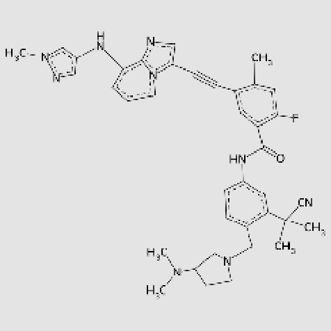 Cc1cc(F)c(C(=O)Nc2ccc(CN3CCC(N(C)C)C3)c(C(C)(C)C#N)c2)cc1C#Cc1cnc2c(Nc3cnn(C)c3)cccn12